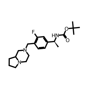 C[C@H](NC(=O)OC(C)(C)C)c1ccc(CN2CCN3CCCC3C2)c(F)c1